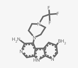 Bc1cnc2[nH]c3cnc(N)c(N4CCN(CC(F)(F)F)CC4)c3c2c1